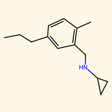 CCCc1ccc(C)c(CNC2CC2)c1